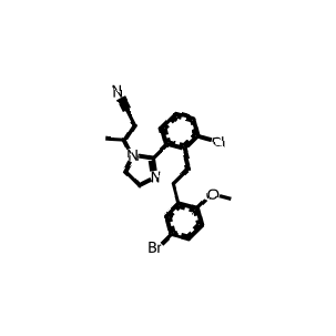 COc1ccc(Br)cc1CCc1c(Cl)cccc1C1=NCCN1C(C)CC#N